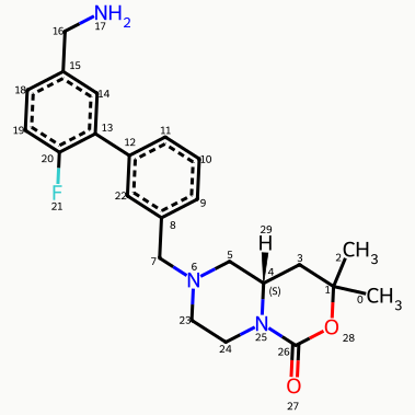 CC1(C)C[C@H]2CN(Cc3cccc(-c4cc(CN)ccc4F)c3)CCN2C(=O)O1